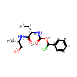 CCCC[C@@H](CO)NC(=O)[C@H](CC(C)C)NC(=O)OC(Cl)c1ccccc1